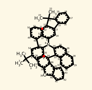 CC(C)(C)c1ccc(N(c2ccc3c(c2)-c2ccccc2C3(C)C)c2ccc3ccccc3c2-c2cccc3oc4ccccc4c23)c(-c2ccccc2)c1